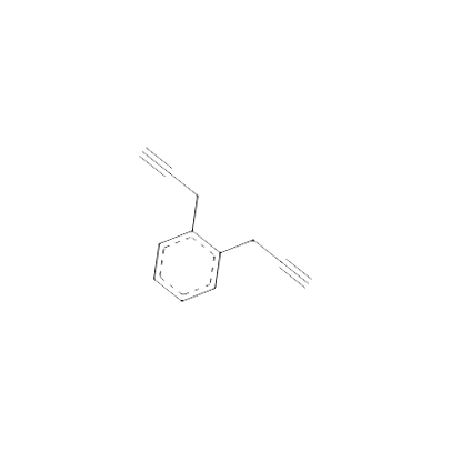 C#CCc1ccccc1CC#C